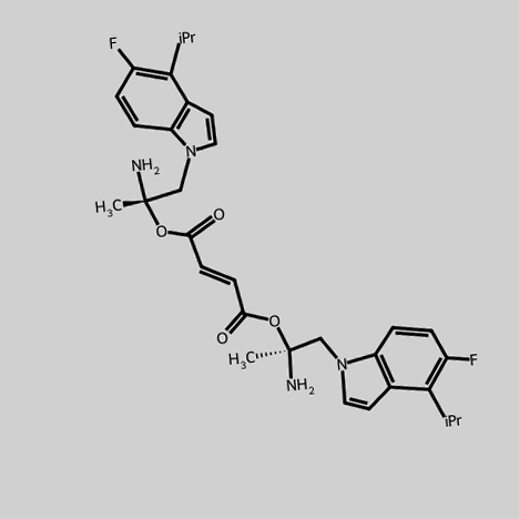 CC(C)c1c(F)ccc2c1ccn2C[C@@](C)(N)OC(=O)/C=C/C(=O)O[C@](C)(N)Cn1ccc2c(C(C)C)c(F)ccc21